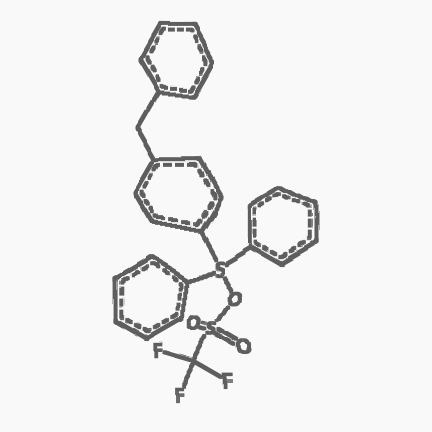 O=S(=O)(OS(c1ccccc1)(c1ccccc1)c1ccc(Cc2ccccc2)cc1)C(F)(F)F